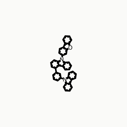 c1cc(-c2cccc3c2c2ccccc2n3-c2ccc3c(c2)oc2ccccc23)cc(-n2c3ccccc3c3ccccc32)c1